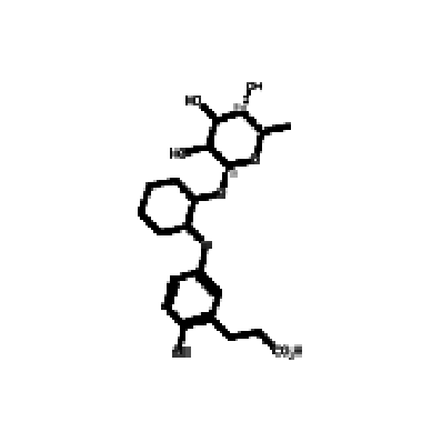 CC1O[C@@H](OC2CCCCC2Oc2ccc(O)c(CCC(=O)O)c2)C(O)C(O)[C@@H]1O